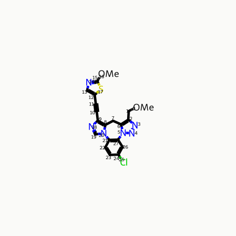 COCc1nnn2c1Cc1c(C#Cc3cnc(OC)s3)ncn1-c1ccc(Cl)cc1-2